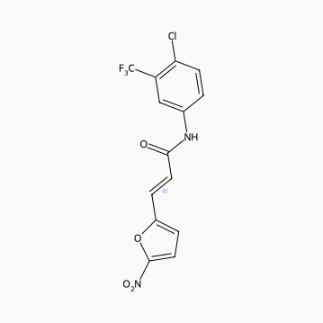 O=C(/C=C/c1ccc([N+](=O)[O-])o1)Nc1ccc(Cl)c(C(F)(F)F)c1